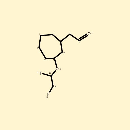 O=CCC1CCCCC(OC(F)CF)C1